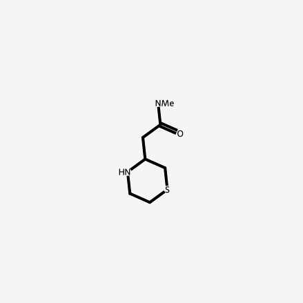 CNC(=O)CC1CSCCN1